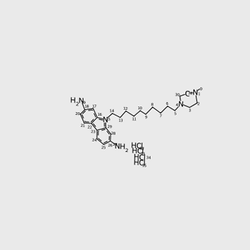 CN1CCN(CCCCCCCCCCn2c3cc(N)ccc3c3ccc(N)cc32)CC1.Cl.Cl.Cl.Cl